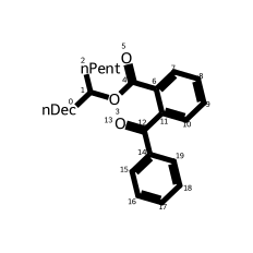 CCCCCCCCCCC(CCCCC)OC(=O)c1ccccc1C(=O)c1ccccc1